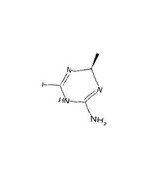 C[C@H]1N=C(N)NC(I)=N1